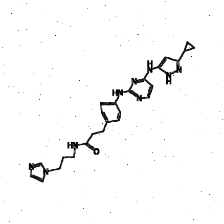 O=C(CCc1ccc(Nc2nccc(Nc3cc(C4CC4)n[nH]3)n2)cc1)NCCCn1ccnc1